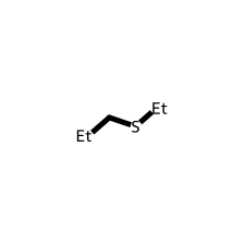 [CH2]CCSCC